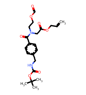 C=CCOC(=O)CN(CCOC=O)C(=O)c1ccc(CNC(=O)OC(C)(C)C)cc1